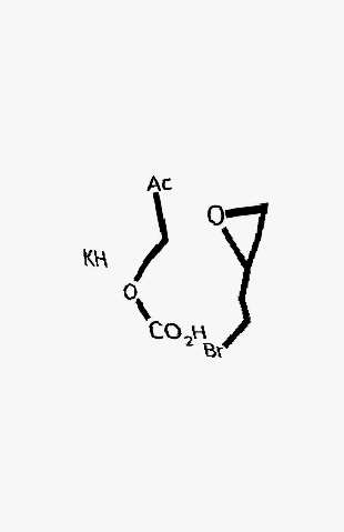 BrCC1CO1.CC(=O)COC(=O)O.[KH]